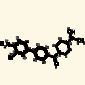 CB(O)N1CCN(C(=O)c2ccc(-c3cnc(N)c(Br)n3)cc2)CC1